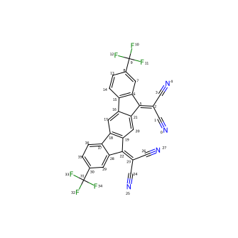 N#CC(C#N)=C1c2cc(C(F)(F)F)ccc2-c2cc3c(cc21)C(=C(C#N)C#N)c1cc(C(F)(F)F)ccc1-3